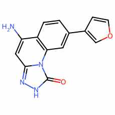 Nc1cc2n[nH]c(=O)n2c2cc(-c3ccoc3)ccc12